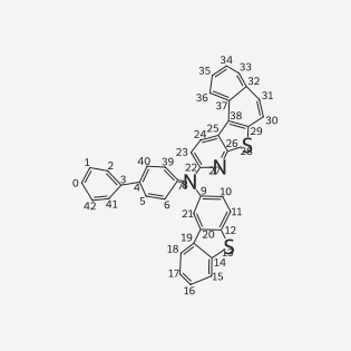 c1ccc(-c2ccc(N(c3ccc4sc5ccccc5c4c3)c3ccc4c(n3)sc3ccc5ccccc5c34)cc2)cc1